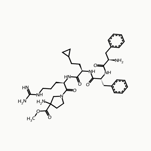 COC(=O)C1(N)CCN(C(=O)[C@@H](CCCNC(=N)N)NC(=O)[C@@H](CCC2CC2)NC(=O)[C@@H](Cc2ccccc2)NC(=O)[C@H](N)Cc2ccccc2)C1